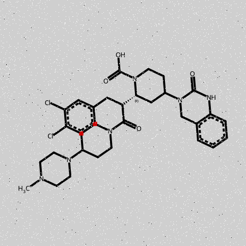 CN1CCN(C2CCN(C(=O)C(Cc3ccc(Cl)c(Cl)c3)[C@H]3CC(N4Cc5ccccc5NC4=O)CCN3C(=O)O)CC2)CC1